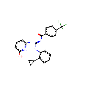 O=C(/N=C(\Nc1cccc(O)n1)Nc1ccccc1C1CC1)c1ccc(C(F)(F)F)cc1